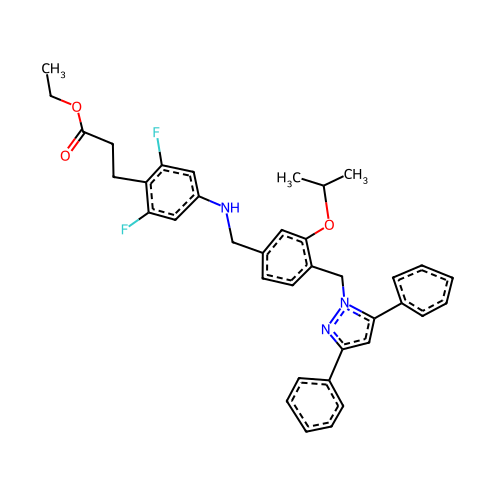 CCOC(=O)CCc1c(F)cc(NCc2ccc(Cn3nc(-c4ccccc4)cc3-c3ccccc3)c(OC(C)C)c2)cc1F